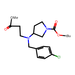 COC(=O)CCN(Cc1ccc(Cl)cc1)C1CCN(C(=O)OC(C)(C)C)C1